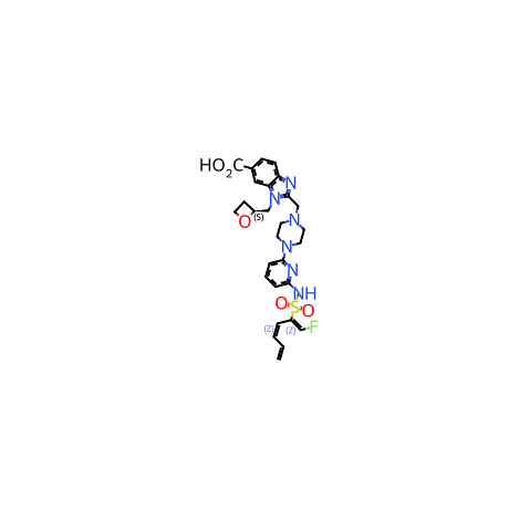 C=C/C=C\C(=C\F)S(=O)(=O)Nc1cccc(N2CCN(Cc3nc4ccc(C(=O)O)cc4n3C[C@@H]3CCO3)CC2)n1